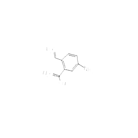 C=Cc1ccc(N)cc1C(=C)C